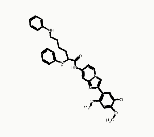 COc1cc(OC)c(-c2cn3ccc(NC(=O)C(CCCCNc4ccccc4)Nc4ccccc4)cc3n2)cc1Cl